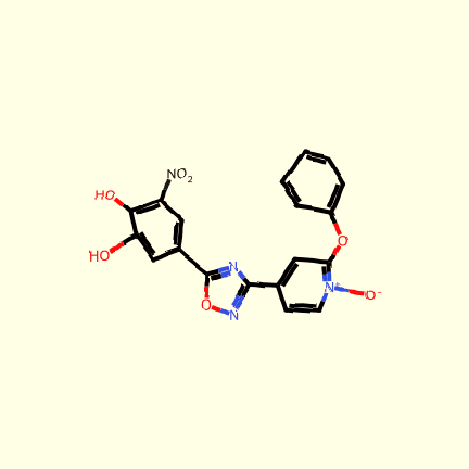 O=[N+]([O-])c1cc(-c2nc(-c3cc[n+]([O-])c(Oc4ccccc4)c3)no2)cc(O)c1O